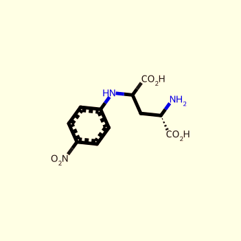 N[C@@H](CC(Nc1ccc([N+](=O)[O-])cc1)C(=O)O)C(=O)O